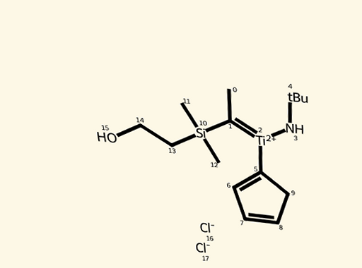 C/[C](=[Ti+2](\[NH]C(C)(C)C)[C]1=CC=CC1)[Si](C)(C)CCO.[Cl-].[Cl-]